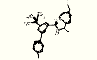 Cc1ccc(-c2cc(C(=O)N[C@H](C)c3ccc(F)cn3)cc(C(O)(C(F)(F)F)C(F)(F)F)c2)cc1